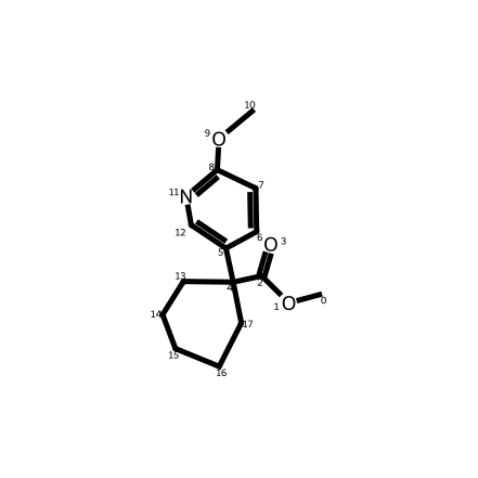 COC(=O)C1(c2ccc(OC)nc2)CCCCC1